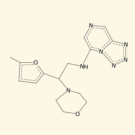 Cc1ccc(C(CNc2cncc3nnnn23)N2CCOCC2)o1